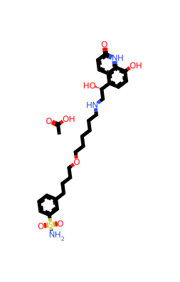 CC(=O)O.NS(=O)(=O)c1cccc(CCCCOCCCCCCNC[C@H](O)c2ccc(O)c3[nH]c(=O)ccc23)c1